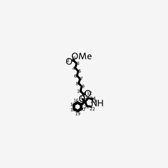 COC(=O)CCCCCCCCC(=O)OC1(c2ccccc2)CCNCC1